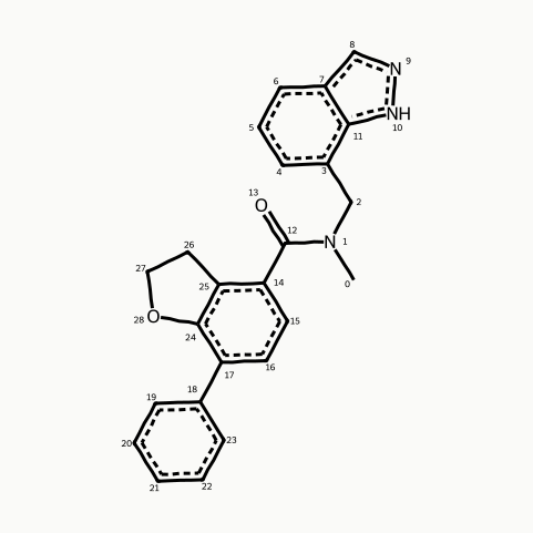 CN(Cc1cccc2cn[nH]c12)C(=O)c1ccc(-c2ccccc2)c2c1CCO2